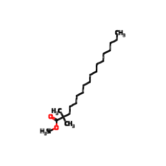 CCCCCCCCCCCCCCCCC(C)(C)C(=O)O[SiH3]